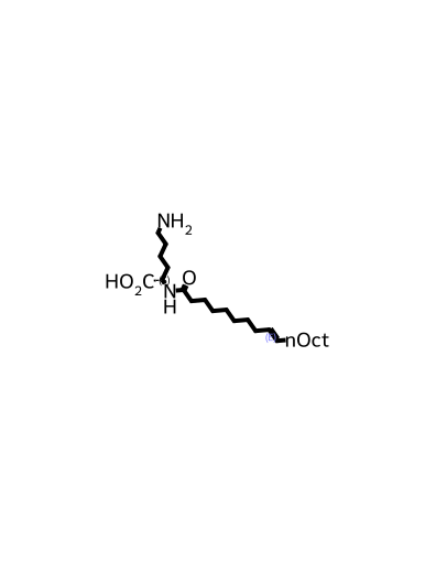 CCCCCCCC/C=C/CCCCCCCC(=O)N[C@@H](CCCCN)C(=O)O